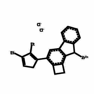 CCC1=CCC(c2cc3c(c4c2CC4)[CH]([Zr+2])c2ccccc2-3)=C1CC.[Cl-].[Cl-]